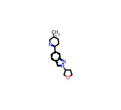 C[C@H]1CCC(c2ccc3cn(C4CCOC4)nc3c2)=NC1